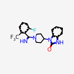 N=C(c1c(F)cccc1C(F)(F)F)N1CCC(n2c(=O)[nH]c3ccccc32)CC1